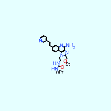 CCCNC(=O)NCCn1c(COCC)nc2c(N)nc3cc(C=Cc4cccnc4)ccc3c21